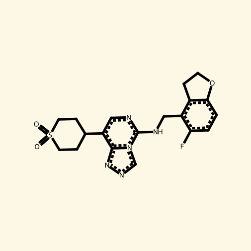 O=S1(=O)CCC(c2cnc(NCc3c(F)ccc4c3CCO4)n3cnnc23)CC1